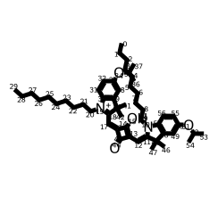 CCCCCCCCCCN1/C(=C\C2=C(O)C(=C\C3=[N+](CCCCCCCCCC)c4ccc(OC(C)C)cc4C3(C)C)/C2=O)C(C)(C)c2cc(OC(C)C)ccc21